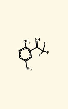 N=C(c1cc(N)ccc1N)C(F)(F)F